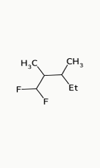 CCC(C)C(C)C(F)F